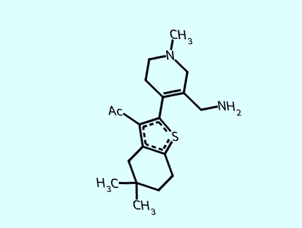 CC(=O)c1c(C2=C(CN)CN(C)CC2)sc2c1CC(C)(C)CC2